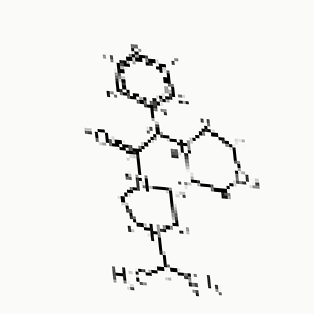 CC(C)N1CCN(C(=O)C(c2ccccc2)N2CCOCC2)CC1